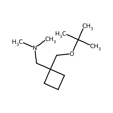 CN(C)CC1(COC(C)(C)C)CCC1